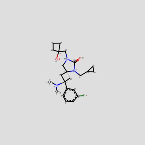 CN(C)[C@]1(c2cccc(F)c2)C[C@@]2(CN(CC3(O)CCC3)C(=O)N2CC2CC2)C1